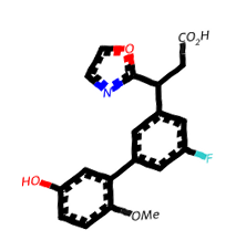 COc1ccc(O)cc1-c1cc(F)cc(C(CC(=O)O)c2ncco2)c1